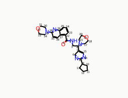 O=C(NCC(c1cnc(C2CCCC2)nc1)N1CCOCC1)c1cccc2nc(N3CCOCC3)ccc12